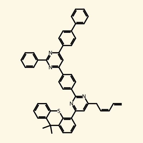 C=C/C=C\Cc1cc(-c2cccc3c2Sc2ccccc2C3(C)C)nc(-c2ccc(-c3cc(-c4ccc(-c5ccccc5)cc4)nc(-c4ccccc4)n3)cc2)n1